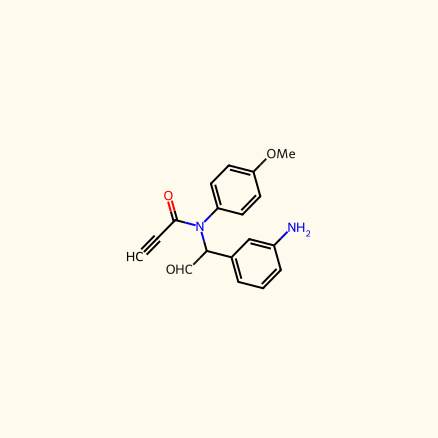 C#CC(=O)N(c1ccc(OC)cc1)C(C=O)c1cccc(N)c1